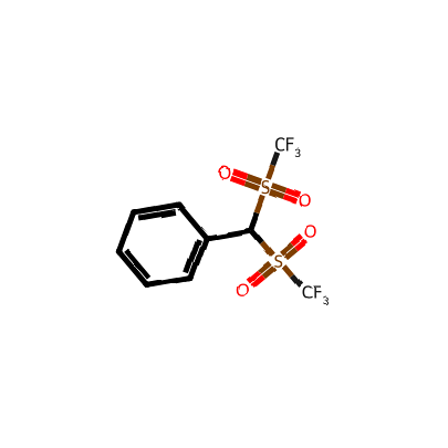 O=S(=O)(C(c1ccccc1)S(=O)(=O)C(F)(F)F)C(F)(F)F